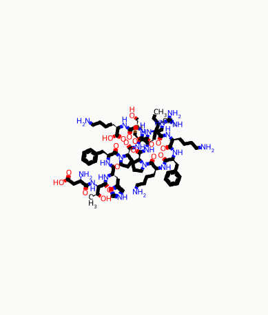 CC[C@H](C)[C@H](NC(=O)[C@H](CS)NC(=O)[C@@H]1CCCN1C(=O)[C@H](Cc1ccccc1)NC(=O)[C@H](Cc1c[nH]cn1)NC(=O)[C@@H](NC(=O)[C@@H](N)CC(=O)O)[C@@H](C)O)C(=O)N[C@@H](CCCCN)C(=O)N[C@@H](Cc1ccccc1)C(=O)N[C@@H](CCCCN)C(=O)N1CCC[C@H]1C(=O)N[C@@H](CCCNC(=N)N)C(=O)N[C@@H](CO)C(=O)N[C@@H](CCCCN)C(=O)O